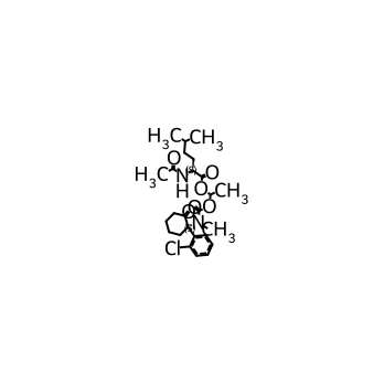 CC(=O)N[C@@H](CCC(C)C)C(=O)OC(C)OC(=O)N(C)[C@]1(c2ccccc2Cl)CCCCC1=O